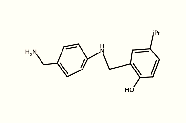 CC(C)c1ccc(O)c(CNc2ccc(CN)cc2)c1